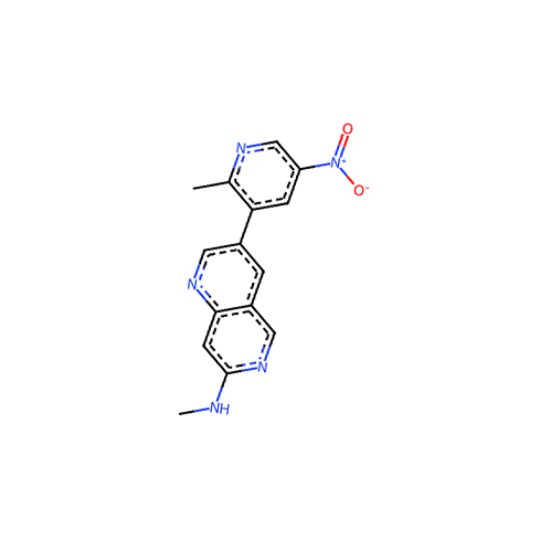 CNc1cc2ncc(-c3cc([N+](=O)[O-])cnc3C)cc2cn1